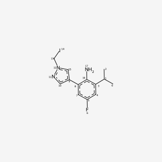 CC(C)c1cc(F)cc(-c2cnn(CI)c2)c1N